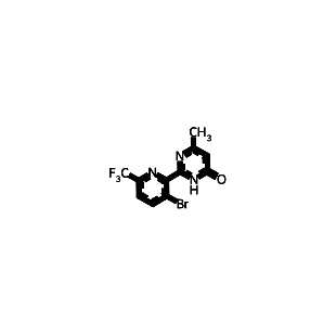 Cc1cc(=O)[nH]c(-c2nc(C(F)(F)F)ccc2Br)n1